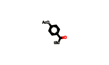 CC(=O)Oc1ccc(C(=O)C(C)(C)C)cc1